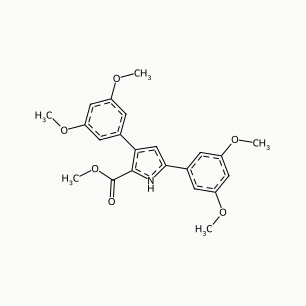 COC(=O)c1[nH]c(-c2cc(OC)cc(OC)c2)cc1-c1cc(OC)cc(OC)c1